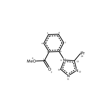 COC(=O)c1ccccc1-n1cnnc1C(C)C